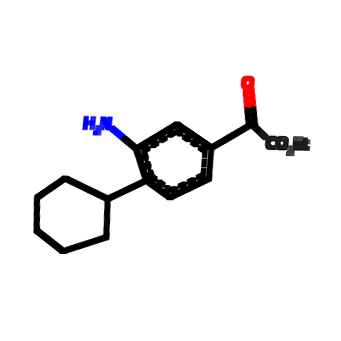 CCOC(=O)C(=O)c1ccc(C2CCCCC2)c(N)c1